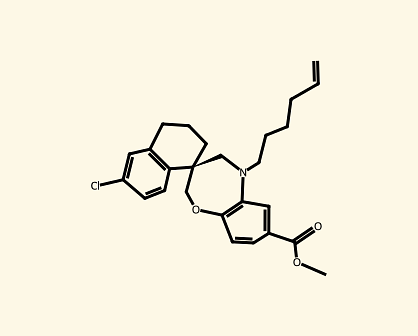 C=CCCCCN1C[C@@]2(CCCc3cc(Cl)ccc32)COc2ccc(C(=O)OC)cc21